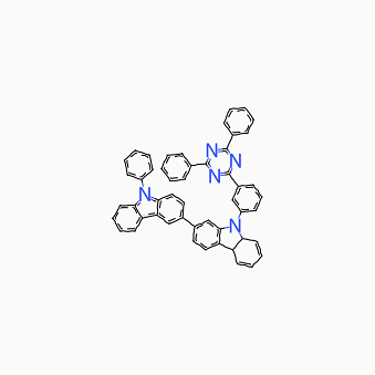 C1=CC2c3ccc(-c4ccc5c(c4)c4ccccc4n5-c4ccccc4)cc3N(c3cccc(-c4nc(-c5ccccc5)nc(-c5ccccc5)n4)c3)C2C=C1